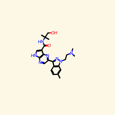 Cc1ccc2c(-c3cnc4[nH]cc(C(=O)NC(C)(C)CO)c4n3)nn(CCN(C)C)c2c1